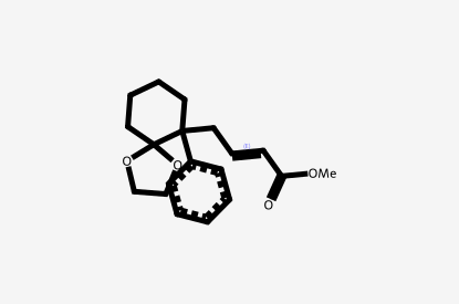 COC(=O)/C=C/CC1(c2ccccc2)CCCCC12OCCO2